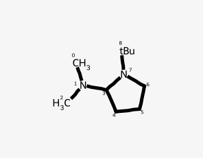 CN(C)C1CCCN1C(C)(C)C